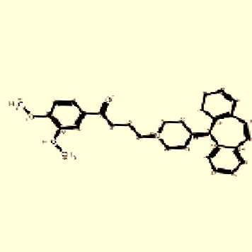 COc1ccc(C(=O)CCCN2CCC(=C3C4=C(C=CCC4)C=Cc4ccccc43)CC2)cc1OC